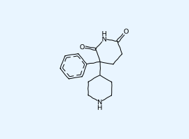 O=C1CCC(c2ccccc2)(C2CCNCC2)C(=O)N1